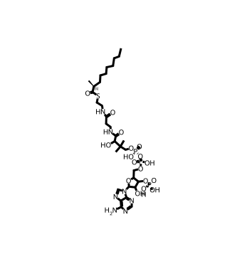 CCCCCCCC[C@H](C)C(=O)SCCNC(=O)CCNC(=O)C(O)C(C)(C)COP(=O)(O)OP(=O)(O)OCC1OC(n2cnc3c(N)ncnc32)C(O)C1OP(=O)(O)O